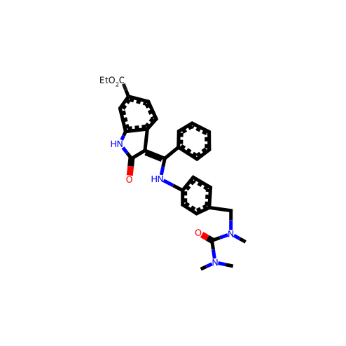 CCOC(=O)c1ccc2c(c1)NC(=O)/C2=C(\Nc1ccc(CN(C)C(=O)N(C)C)cc1)c1ccccc1